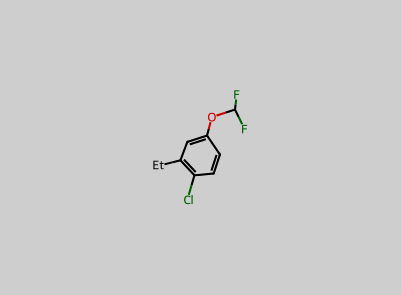 CCc1cc(OC(F)F)ccc1Cl